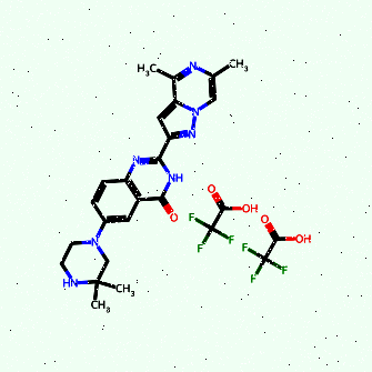 Cc1cn2nc(-c3nc4ccc(N5CCNC(C)(C)C5)cc4c(=O)[nH]3)cc2c(C)n1.O=C(O)C(F)(F)F.O=C(O)C(F)(F)F